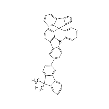 CC1(C)c2ccccc2-c2cc(-c3ccc4c(c3)-c3cccc5c3B4c3ccccc3C53c4ccccc4-c4ccccc43)ccc21